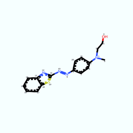 CN(CCO)c1ccc(N=Nc2nc3ccccc3s2)cc1